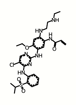 C=CC(=O)Nc1cc(Nc2ncc(Cl)c(Nc3ccccc3S(=O)(=O)C(C)C)n2)c(OCC)cc1NCCNCC